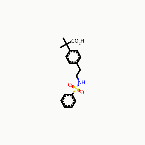 CC(C)(C(=O)O)c1ccc(CCNS(=O)(=O)c2ccccc2)cc1